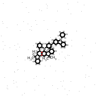 CC1(C)C2=C(CCC(c3ccccc3N(c3c#cc(-c4ccc5c(c4)c4ccccc4n5-c4ccccc4)cc3)c3cccc4c3-c3ccccc3C4(C)C)=C2)c2ccccc21